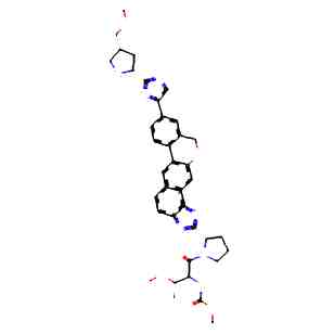 COC[C@@H]1CN[C@H](c2ncc(-c3ccc4c(c3)COc3cc5c(ccc6nc([C@@H]7CC[C@H](C)N7C(=O)C(NC(=O)OC)[C@@H](C)OC)[nH]c65)cc3-4)[nH]2)C1